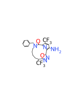 Nc1cc(C(F)(F)F)c2nc1-c1nnc(o1)C(C(F)(F)F)CCCCN(Cc1ccccc1)C2=O